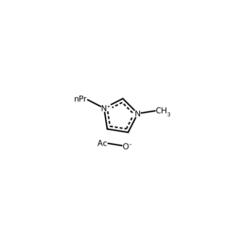 CC(=O)[O-].CCC[n+]1ccn(C)c1